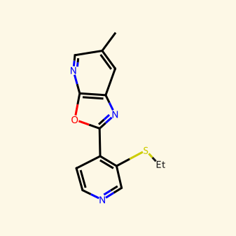 CCSc1cnccc1-c1nc2cc(C)cnc2o1